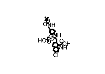 CC(C)(C)OC(=O)NCc1ccc(NC(=O)CC2CCc3cc(Cl)cc4[nH]c(C(=O)O)c2c34)c(OCC(=O)O)c1